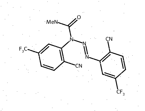 CNC(=O)N(N=Nc1cc(C(F)(F)F)ccc1C#N)c1cc(C(F)(F)F)ccc1C#N